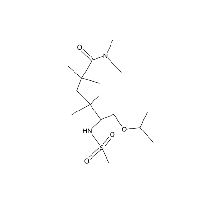 CC(C)OCC(NS(C)(=O)=O)C(C)(C)CC(C)(C)C(=O)N(C)C